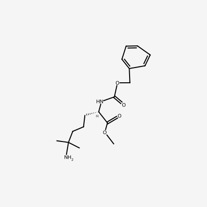 COC(=O)[C@H](CCCC(C)(C)N)NC(=O)OCc1ccccc1